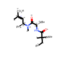 CNC(C)(CC(C)C)C(=O)N[C@H](C(=O)N(C)[C@H](/C=C(\C)C(=O)O)C(C)C)C(C)(C)C